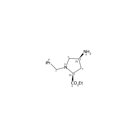 CCOC(=O)[C@@H]1C[C@H](N)CN1CC(C)C